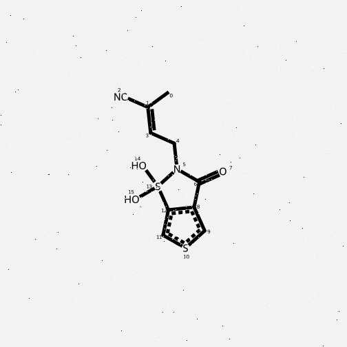 CC(C#N)=CCN1C(=O)c2cscc2S1(O)O